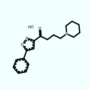 Cl.O=C(CCCN1CCCCC1)c1cc(-c2ccccc2)on1